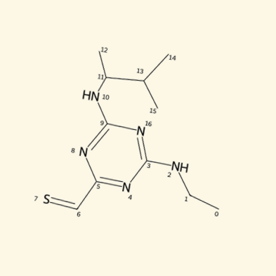 CCNc1nc(C=S)nc(NC(C)C(C)C)n1